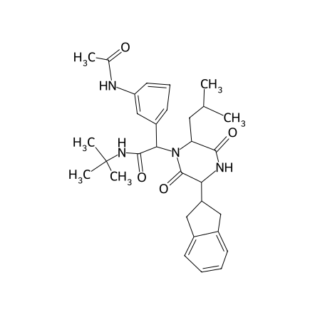 CC(=O)Nc1cccc(C(C(=O)NC(C)(C)C)N2C(=O)C(C3Cc4ccccc4C3)NC(=O)C2CC(C)C)c1